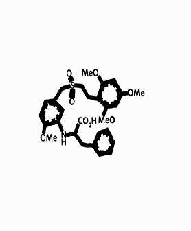 COc1cc(OC)c(CCS(=O)(=O)Cc2ccc(OC)c(NC(Cc3ccccc3)C(=O)O)c2)c(OC)c1